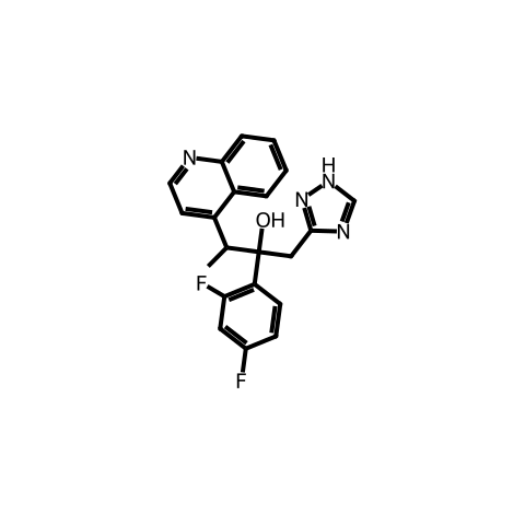 CC(c1ccnc2ccccc12)C(O)(Cc1nc[nH]n1)c1ccc(F)cc1F